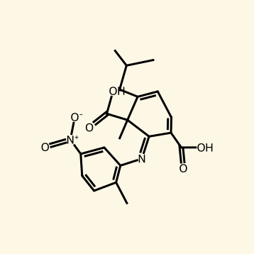 Cc1ccc([N+](=O)[O-])cc1N=C1C(C(=O)O)=CC=C(CC(C)C)C1(C)C(=O)O